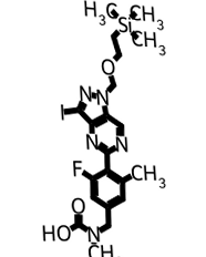 Cc1cc(CN(C)C(=O)O)cc(F)c1-c1ncc2c(n1)c(I)nn2COCC[Si](C)(C)C